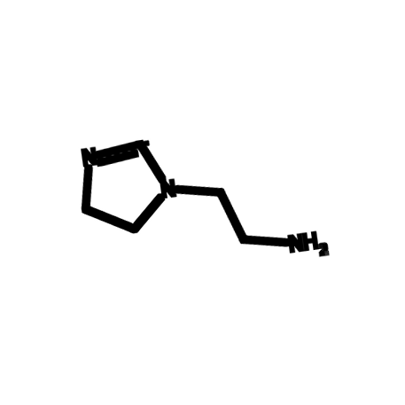 NCCN1[C]=NCC1